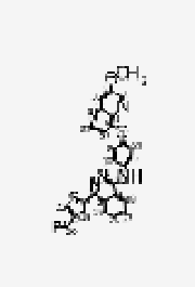 COc1cnc2c(Oc3ccc(Nc4nnc(C5CC(CF)=CS5)c5ccccc45)cc3)ccnc2c1